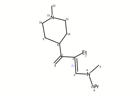 C=C(/C(=C/N(C)CCC)CC)C1CCN(C)CC1